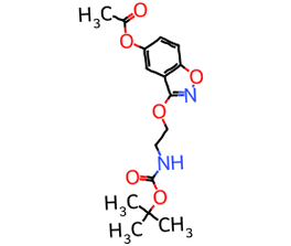 CC(=O)Oc1ccc2onc(OCCNC(=O)OC(C)(C)C)c2c1